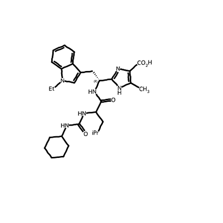 CCn1cc(C[C@@H](NC(=O)C(CC(C)C)NC(=O)NC2CCCCC2)c2nc(C(=O)O)c(C)[nH]2)c2ccccc21